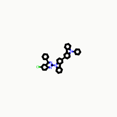 Clc1ccc2nc(-n3c4ccccc4c4cc(-c5ccc6c(c5)c5ccccc5n6-c5ccccc5)ccc43)nc(-c3ccccc3)c2c1